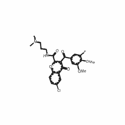 COc1cc(C(=O)c2c(C(=O)NCCCN(C)C)oc3ccc(Cl)cc3c2=O)cc(F)c1OC